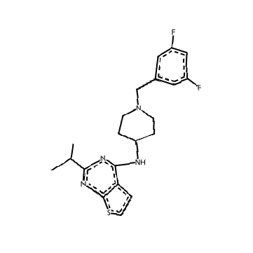 CC(C)c1nc(NC2CCN(Cc3cc(F)cc(F)c3)CC2)c2ccsc2n1